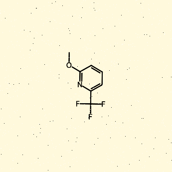 COc1cccc(C(F)(F)F)n1